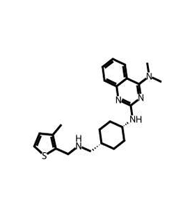 Cc1ccsc1CNC[C@H]1CC[C@@H](Nc2nc(N(C)C)c3ccccc3n2)CC1